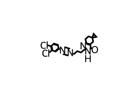 O=c1[nH]c(CCCN2CCN(c3ccc(Cl)c(Cl)c3)CC2)nc2c1CC1(CC2)CC1